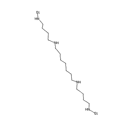 CCNCCCCNCCCCCCCNCCCCNCC